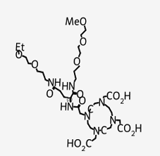 CCOCCOCCCNC(=O)CC[C@H](NC(=O)CN1CCN(CC(=O)O)CCN(CC(=O)O)CCN(CC(=O)O)CC1)C(=O)NCCCOCCOCCOC